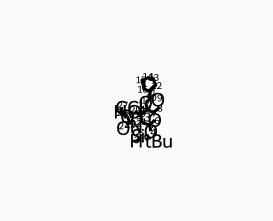 CC(C)(C)[Si](C)(C)OC1OC2COC(c3ccccc3)OC2C(O)C1NC(=O)OCC(Cl)(Cl)Cl